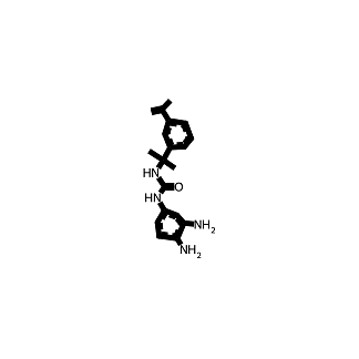 C=C(C)c1cccc(C(C)(C)NC(=O)Nc2ccc(N)c(N)c2)c1